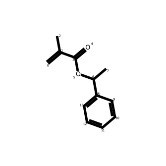 C=C(C)C(=O)OC(C)c1[c]cccc1